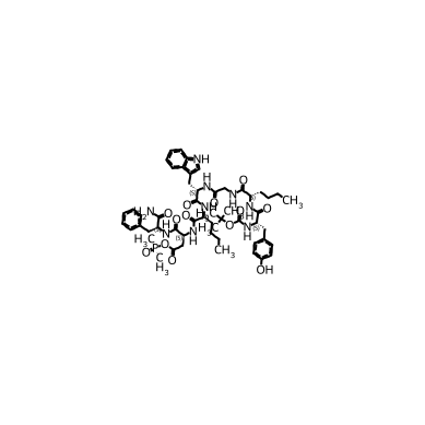 CCCC[C@H](NC(=O)[C@H](Cc1ccc(O)cc1)NC(=O)OC(C)(C)C)C(=O)NCC(=O)N[C@@H](Cc1c[nH]c2ccccc12)C(=O)N[C@@H](CCCC)C(=O)N[C@@H](CC(=O)OP(C)(C)=O)C(=O)N[C@@H](Cc1ccccc1)C(N)=O